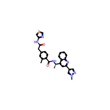 Cc1cc(CC(=O)Nc2cscn2)ccc1C(=O)N[C@H](C)c1cc(-c2cnn(C)c2)nc2ccccc12